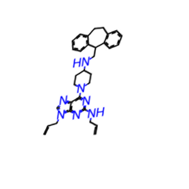 C=CCNc1nc(N2CCC(NCC3c4ccccc4CCc4ccccc43)CC2)c2ncn(CC=C)c2n1